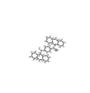 CC(c1ccc(C(Br)c2c3ccccc3cc3ccccc23)cc1)c1c2ccccc2cc2ccccc12